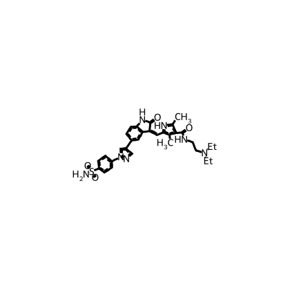 CCN(CC)CCNC(=O)c1c(C)[nH]c(/C=C2\C(=O)Nc3ccc(-c4cnn(-c5ccc(S(N)(=O)=O)cc5)c4)cc32)c1C